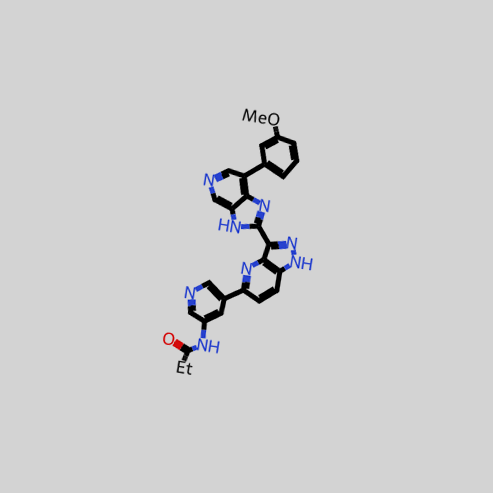 CCC(=O)Nc1cncc(-c2ccc3[nH]nc(-c4nc5c(-c6cccc(OC)c6)cncc5[nH]4)c3n2)c1